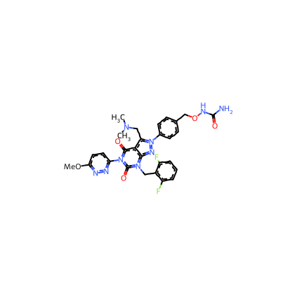 COc1ccc(-n2c(=O)c3c(CN(C)C)n(-c4ccc(CONC(N)=O)cc4)nc3n(Cc3c(F)cccc3F)c2=O)nn1